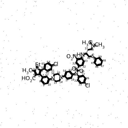 CCn1c(C)c(C(=O)O)c(-c2cccc(N3CCN(c4ccc(N(c5ccc(Cl)cc5)S(=O)(=O)c5ccc(N[C@H](CCN(C)C)CSc6ccccc6)c([N+](=O)[O-])c5)cc4)CC3)c2)c1-c1ccc(Cl)cc1